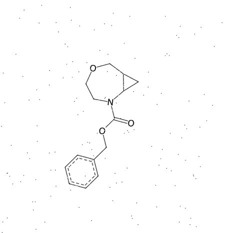 O=C(OCc1ccccc1)N1CCOCC2CC21